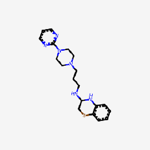 c1cnc(N2CCN(CCCNC3CSc4ccccc4N3)CC2)nc1